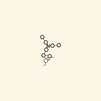 C=C1CC(CC)CCC12c1cc(C)ccc1-c1c(-c3ccc(N(c4ccc(-c5ccccc5)cc4)c4ccc(-c5ccccc5)cc4)cc3)cccc12